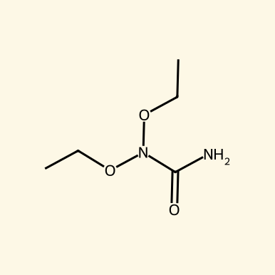 CCON(OCC)C(N)=O